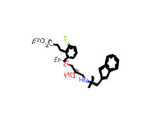 CCOC(=O)CCc1c(F)cccc1[C@@H](CC)OC[C@H](O)CNC(C)(C)CC1Cc2ccccc2C1